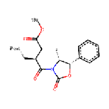 CCC[C@@H](C)C[C@@H](CC(=O)OC(C)(C)C)C(=O)N1C(=O)O[C@@H](c2ccccc2)[C@H]1C